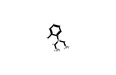 Cc1ccccc1P(CC(C)C)CC(C)C